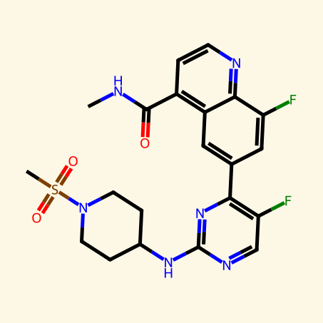 CNC(=O)c1ccnc2c(F)cc(-c3nc(NC4CCN(S(C)(=O)=O)CC4)ncc3F)cc12